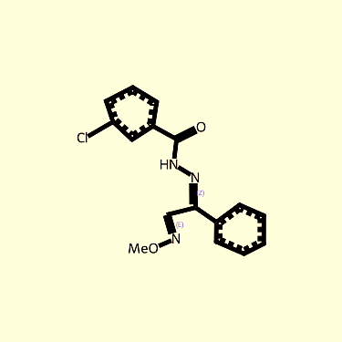 CO/N=C/C(=N\NC(=O)c1cccc(Cl)c1)c1ccccc1